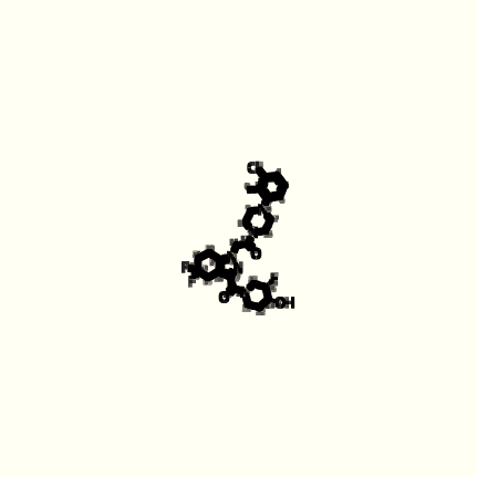 Cc1c(Cl)cccc1N1CCN(C(=O)Cn2nc(C(=O)N3CC[C@@H](O)[C@@H](F)C3)c3c2CCC(F)(F)C3)CC1